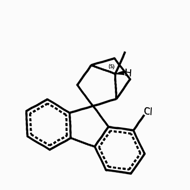 C[C@H]1C2CCC1C1(C2)c2ccccc2-c2cccc(Cl)c21